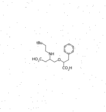 CC(C)(C)CCNC(COC(Cc1ccccc1)C(=O)O)CC(=O)O